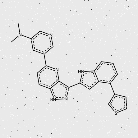 CN(C)c1cncc(-c2ccc3[nH]nc(-c4cc5c(-c6ccsc6)cccc5[nH]4)c3n2)c1